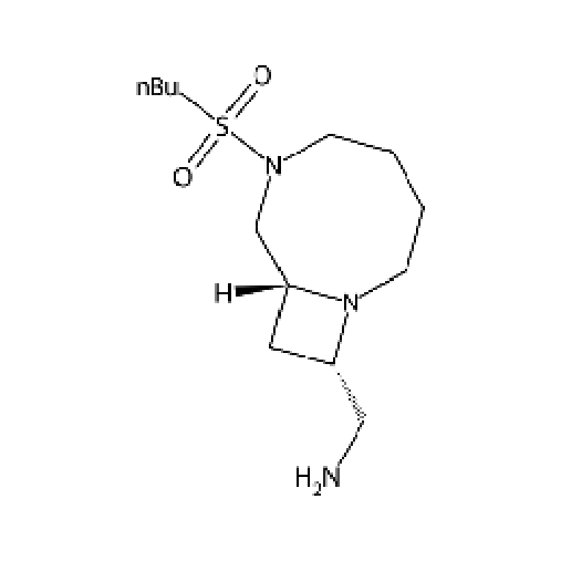 CCCCS(=O)(=O)N1CCCCN2[C@H](CN)C[C@@H]2C1